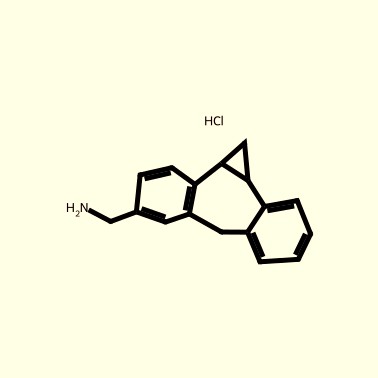 Cl.NCc1ccc2c(c1)Cc1ccccc1C1CC21